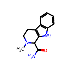 CN1CCc2c([nH]c3ccc[c]c23)C1C(N)=O